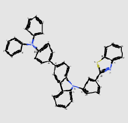 c1ccc(N(c2ccccc2)c2ccc(-c3ccc4c(c3)c3ccccc3n4-c3cccc(-c4nc5ccccc5s4)c3)cc2)cc1